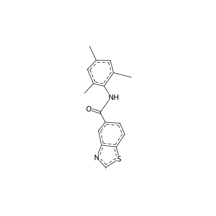 Cc1cc(C)c(NC(=O)c2ccc3s[c]nc3c2)c(C)c1